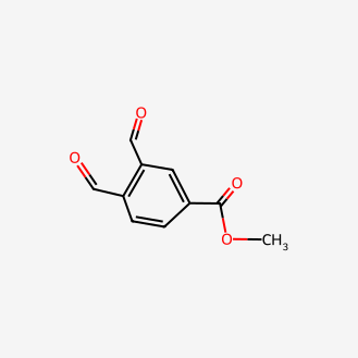 COC(=O)c1ccc(C=O)c(C=O)c1